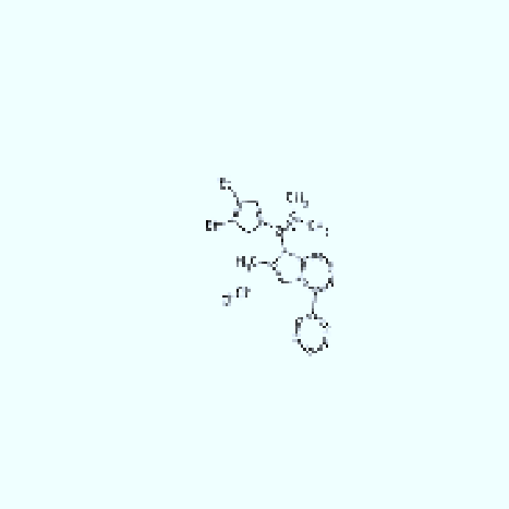 CCC1=C(CC)C[C]([Zr+2]([CH]2C(C)=Cc3c(-c4ccccc4)cccc32)=[Si](C)C)=C1.[Cl-].[Cl-]